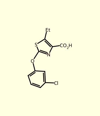 CCc1sc(Oc2cccc(Cl)c2)nc1C(=O)O